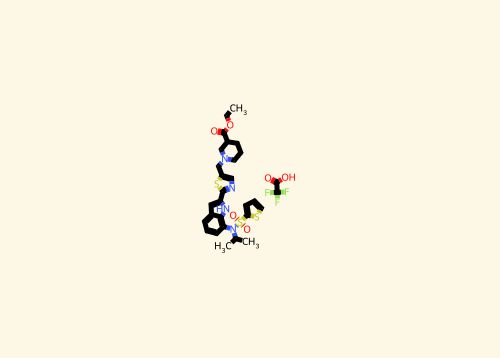 CCOC(=O)C1CCCN(Cc2cnc(-c3cc4cccc(N(C(C)C)S(=O)(=O)c5cccs5)c4[nH]3)s2)C1.O=C(O)C(F)(F)F